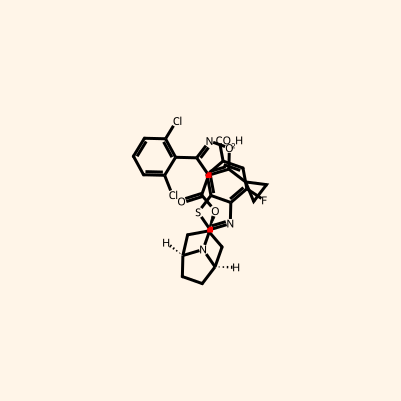 O=C(O)c1cc(F)c2nc(N3[C@@H]4CC[C@H]3C[C@@H](OC(=O)c3c(-c5c(Cl)cccc5Cl)noc3C3CC3)C4)sc2c1